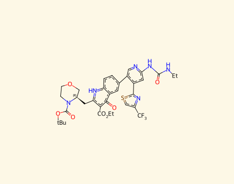 CCNC(=O)Nc1cc(-c2nc(C(F)(F)F)cs2)c(-c2ccc3[nH]c(C[C@@H]4COCCN4C(=O)OC(C)(C)C)c(C(=O)OCC)c(=O)c3c2)cn1